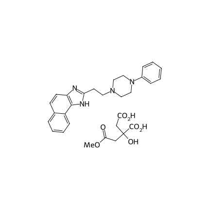 COC(=O)CC(O)(CC(=O)O)C(=O)O.c1ccc(N2CCN(CCc3nc4ccc5ccccc5c4[nH]3)CC2)cc1